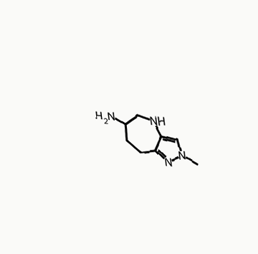 Cn1cc2c(n1)CCC(N)CN2